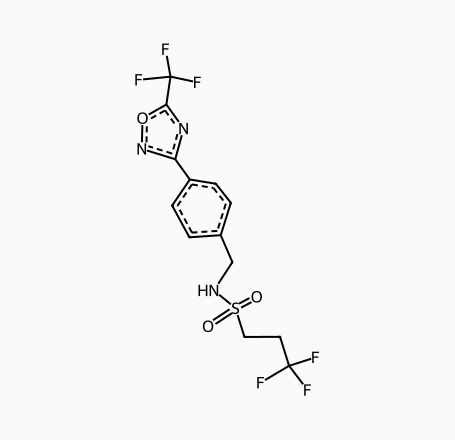 O=S(=O)(CCC(F)(F)F)NCc1ccc(-c2noc(C(F)(F)F)n2)cc1